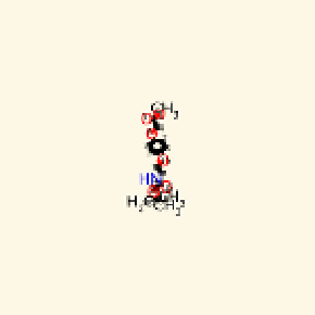 COC(=O)COc1ccc(OCCNC(=O)OC(C)(C)C)cc1